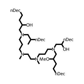 CCCCCCCCCCCCC(O)CN(CCCN(C)CCN(C)CCCN(CC(O)CCCCCCCCCC)CC(CCCCCCCCCCCC)OC)CC(C)CCCCCCCCCC